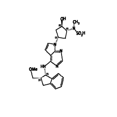 COC[C@H]1Cc2ccccc2[C@H]1Nc1ncnc2c1ccn2[C@@H]1C[C@@H](O)[C@H](N(C)S(=O)(=O)O)C1